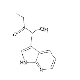 CCC(=O)C(O)c1c[nH]c2ncccc12